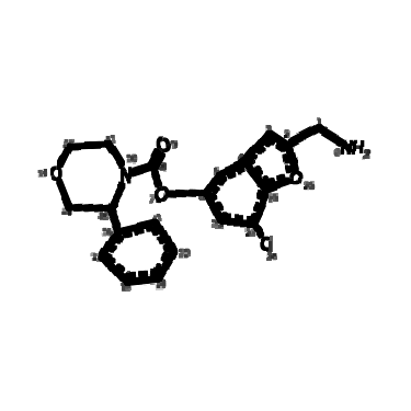 NCc1cc2cc(OC(=O)N3CCOCC3c3ccccc3)cc(Cl)c2o1